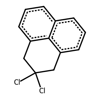 ClC1(Cl)Cc2cccc3cccc(c23)C1